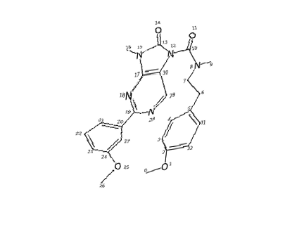 COc1ccc(CCN(C)C(=O)n2c(=O)n(C)c3nc(-c4cccc(OC)c4)ncc32)cc1